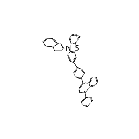 c1ccc(-c2ccc(-c3ccc(-c4ccc5c(c4)Sc4ccccc4N5c4ccc5ccccc5c4)cc3)c3ccccc23)cc1